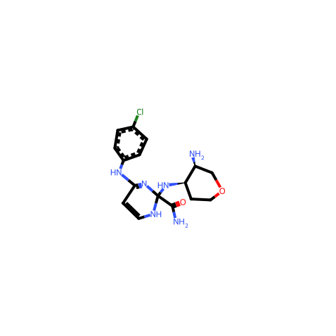 NC(=O)C1(N[C@@H]2CCOC[C@@H]2N)N=C(Nc2ccc(Cl)cc2)C=CN1